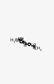 COC(=O)CSc1ccc(C(=O)CN2C=C3C=CC(C(=N)SC)C(=O)C3C2)cc1